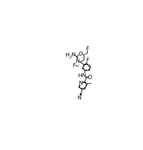 Cc1cc(C#N)cnc1C(=O)Nc1ccc(F)c([C@]2(CF)C[C@H](CF)OC(N)=N2)c1